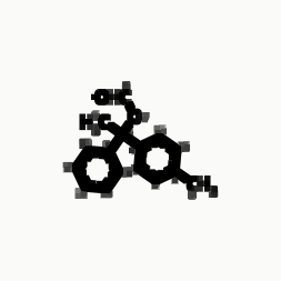 Cc1ccc(C(C)(O[C]=O)c2ccccc2)cc1